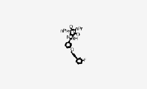 CCCn1c(=O)c2[nH]c(-c3cccc(OCC#Cc4cccc(F)c4)c3)nc2n(CCC)c1=O